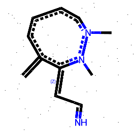 C=c1ccccn(C)n(C)/c1=C\C=N